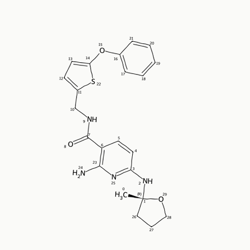 C[C@]1(Nc2ccc(C(=O)NCc3ccc(Oc4ccccc4)s3)c(N)n2)CCCO1